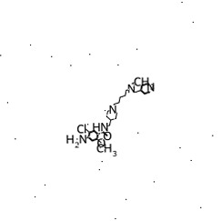 CCN(CCCCCN1CCC(CNC(=O)c2cc(Cl)c(N)cc2OC)CC1)Cc1ccncc1